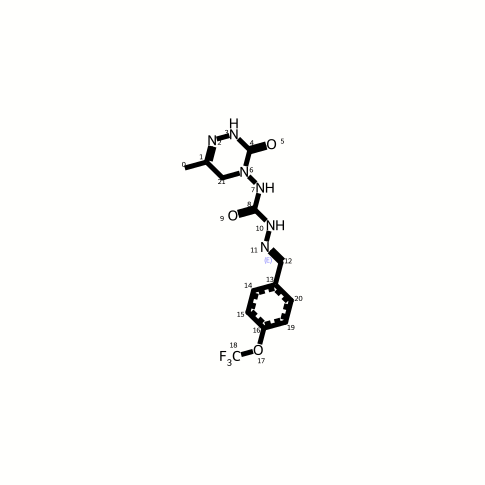 CC1=NNC(=O)N(NC(=O)N/N=C/c2ccc(OC(F)(F)F)cc2)C1